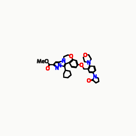 COC(=O)c1cc2n3c(c(C4CCCCC4)n2n1)-c1ccc(OCc2cc(N4CCCC4=O)ccc2N2CCOCC2)cc1OCC3